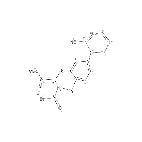 CCC(=O)N(Cc1ccc(-c2ccccc2C#N)cc1)C(C(=O)OC)C(C)C